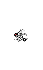 CNC[C@H](CC12CC3CC(CC(C3)C1)C2)NC(=O)N(C)CC[C@@H](OCCN(C)C(=O)O)c1cccc(Cl)c1